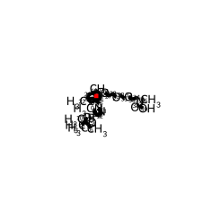 Cc1c(B2OC(C)(C)C(C)(C)O2)cnn1CC12CC3(C)CC(C)(C1)CC(OCCOCCOCCN(C)C(=O)O)(C3)C2